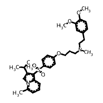 COc1ccc(CCN(C)CCCOc2ccc(S(=O)(=O)c3c(C(C)C)cn4c(C)cccc34)cc2)cc1OC